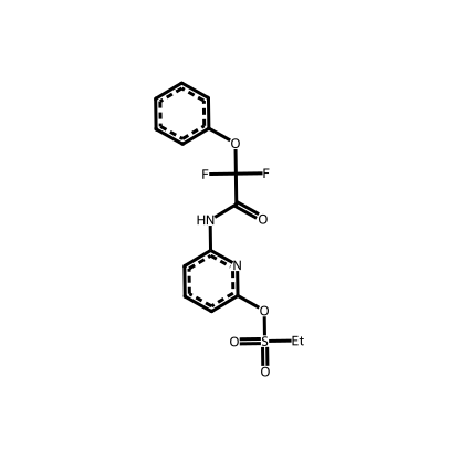 CCS(=O)(=O)Oc1cccc(NC(=O)C(F)(F)Oc2ccccc2)n1